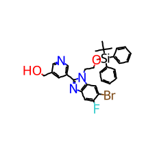 CC(C)(C)[Si](OCCn1c(-c2cncc(CO)c2)nc2cc(F)c(Br)cc21)(c1ccccc1)c1ccccc1